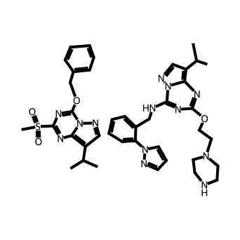 CC(C)c1cnn2c(NCc3ccccc3-n3cccn3)nc(OCCN3CCNCC3)nc12.CC(C)c1cnn2c(OCc3ccccc3)nc(S(C)(=O)=O)nc12